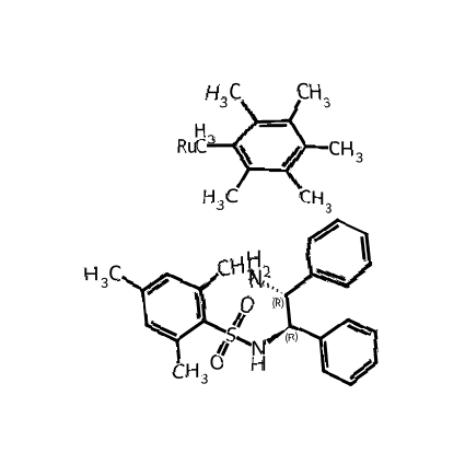 Cc1c(C)c(C)c(C)c(C)c1C.Cc1cc(C)c(S(=O)(=O)N[C@H](c2ccccc2)[C@H](N)c2ccccc2)c(C)c1.[Ru]